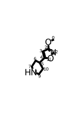 COc1cc(C2CCNCC2)on1